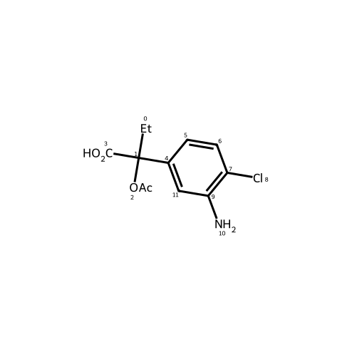 CCC(OC(C)=O)(C(=O)O)c1ccc(Cl)c(N)c1